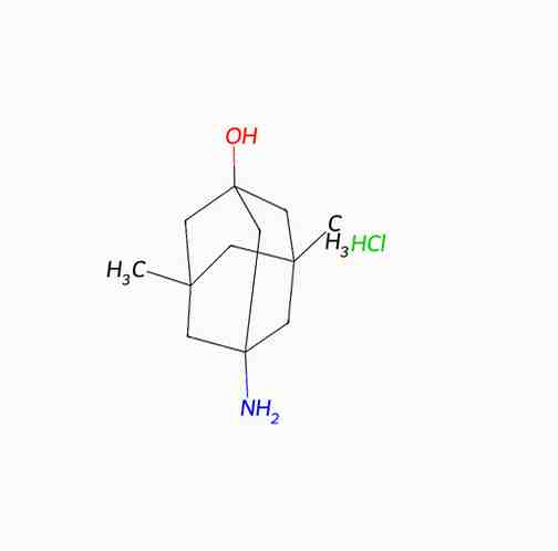 CC12CC3(C)CC(N)(C1)CC(O)(C2)C3.Cl